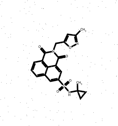 Cc1cc(CN2C(=O)c3cccc4cc(S(=O)(=O)NC5(C)CC5)cc(c34)C2=O)on1